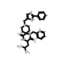 CC(C)CC1NC(=O)C2(CCN(Cc3cnc(-c4ccccc4)[nH]3)CC2)N(Cc2ccccn2)C1=O